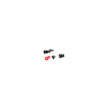 [Mn+2].[O-2].[Sb].[V]